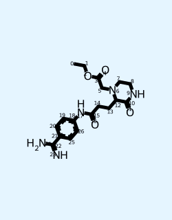 CCOC(=O)CN1CCNC(=O)C1CCC(=O)Nc1ccc(C(=N)N)cc1